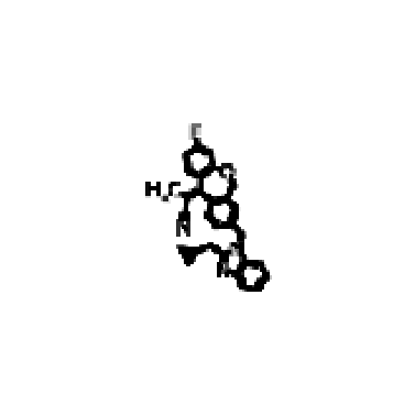 C/C(C#N)=C1/c2ccc(Cn3c(CC4CC4)nc4ccccc43)cc2COc2cc(F)ccc21